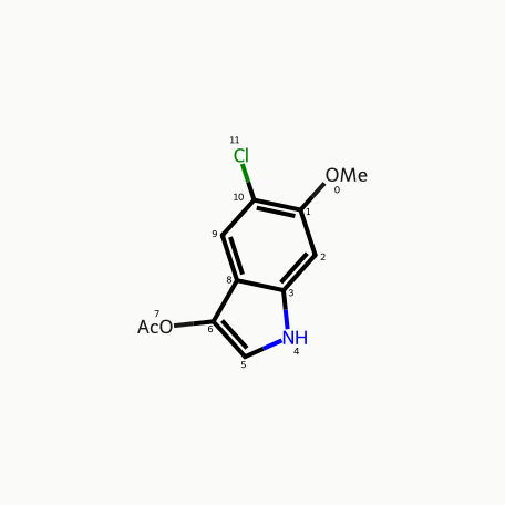 COc1cc2[nH]cc(OC(C)=O)c2cc1Cl